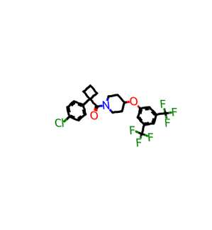 O=C(N1CCC(Oc2cc(C(F)(F)F)cc(C(F)(F)F)c2)CC1)C1(c2ccc(Cl)cc2)CCC1